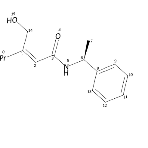 CCC/C(=C/C(=O)N[C@@H](C)c1ccccc1)CO